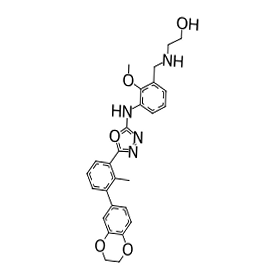 COc1c(CNCCO)cccc1Nc1nnc(-c2cccc(-c3ccc4c(c3)OCCO4)c2C)o1